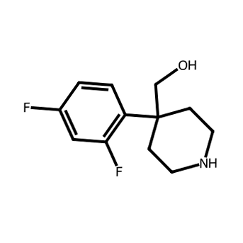 OCC1(c2ccc(F)cc2F)CCNCC1